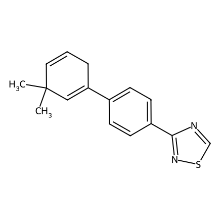 CC1(C)C=CCC(c2ccc(-c3ncsn3)cc2)=C1